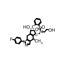 C[C@@H]1C2=C(CC[C@@H]2CN(CCO)S(=O)(=O)c2ccccc2C(=O)O)Cc2c1cnn2-c1ccc(F)cc1